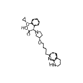 O=C(O)[C@@H](c1ccccc1OC1CC1)N1CC[C@@H](OCCCCc2ccc3c(n2)NCCC3)C1